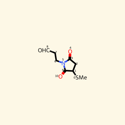 CSC1CC(=O)N(CCC=O)C1=O